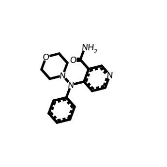 NC(=O)c1cnccc1N(c1ccccc1)N1CCOCC1